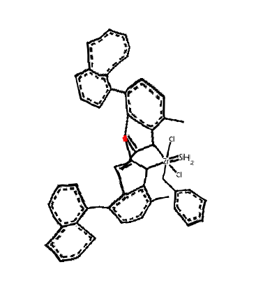 CC1=Cc2c(-c3cccc4ccccc34)ccc(C)c2[CH]1[Zr](=[SiH2])([Cl])([Cl])([CH2]c1ccccc1)[CH]1C(C)=Cc2c(-c3cccc4ccccc34)ccc(C)c21